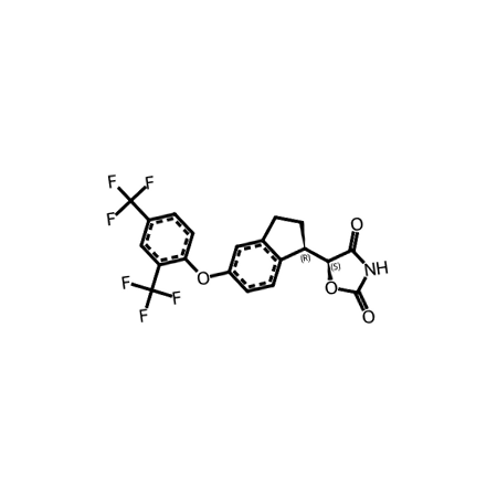 O=C1NC(=O)[C@H]([C@@H]2CCc3cc(Oc4ccc(C(F)(F)F)cc4C(F)(F)F)ccc32)O1